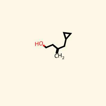 C=C(CCO)CC1CC1